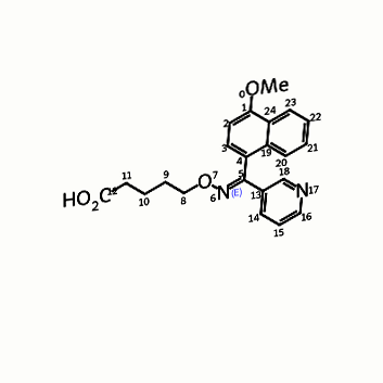 COc1ccc(/C(=N\OCCCCC(=O)O)c2cccnc2)c2ccccc12